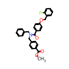 COC(=O)c1ccc(CN(Cc2ccccc2)C(=O)c2ccc(OCc3ccccc3F)cc2)cc1